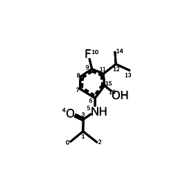 CC(C)C(=O)Nc1ccc(F)c(C(C)C)c1O